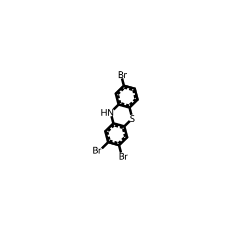 Brc1ccc2c(c1)Nc1cc(Br)c(Br)cc1S2